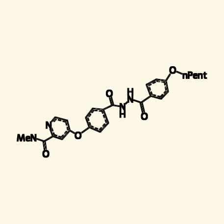 CCCCCOc1ccc(C(=O)NNC(=O)c2ccc(Oc3ccnc(C(=O)NC)c3)cc2)cc1